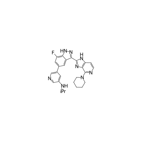 CC(C)Nc1cncc(-c2cc(F)c3[nH]nc(-c4nc5c(N6CCCCC6)nccc5[nH]4)c3c2)c1